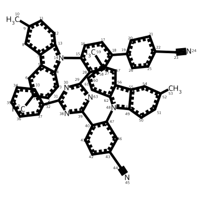 Cc1ccc2c(c1)c1cc(C)ccc1n2-c1ccc(-c2ccc(C#N)cc2)cc1-c1nc(-c2ccccc2)nc(-c2ccc(C#N)cc2-n2c3ccc(C)cc3c3cc(C)ccc32)n1